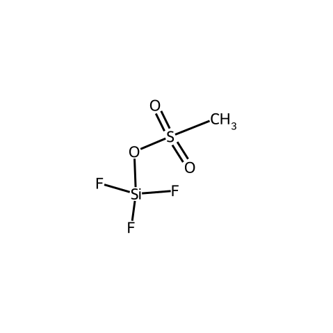 CS(=O)(=O)O[Si](F)(F)F